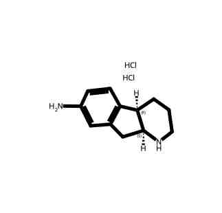 Cl.Cl.Nc1ccc2c(c1)C[C@@H]1NCCC[C@H]21